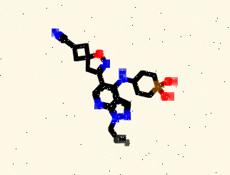 CCn1ncc2c(NC3CCS(O)(O)CC3)c(C3=NOC4(C3)CC(C#N)C4)cnc21